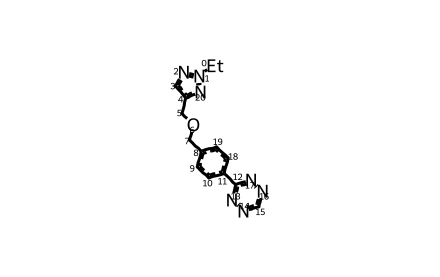 CCn1ncc(COCc2ccc(-c3nncnn3)cc2)n1